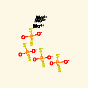 [Mo+4].[Mo+4].[Mo+4].[O-]P([O-])(=S)[S-].[O-]P([O-])(=S)[S-].[O-]P([O-])(=S)[S-].[O-]P([O-])(=S)[S-]